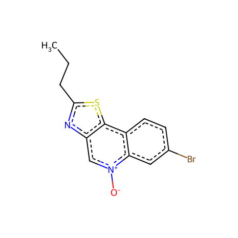 CCCc1nc2c[n+]([O-])c3cc(Br)ccc3c2s1